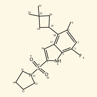 Cc1cc(F)c2[nH]c(S(=O)(=O)N3CCCC3)cc2c1C1CC(C)(C)C1